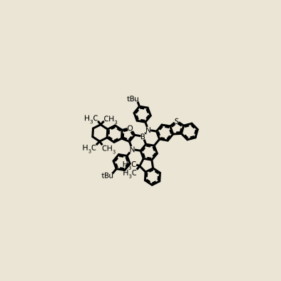 CC(C)(C)c1ccc(N2B3c4oc5cc6c(cc5c4N(c4ccc(C(C)(C)C)cc4)c4c3c(cc3c4C(C)(C)c4ccccc4-3)-c3cc4c(cc32)sc2ccccc24)C(C)(C)CCC6(C)C)cc1